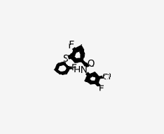 O=C(Nc1ccc(F)c(Cl)c1)c1ccc(F)c(SC2CCCCC2F)c1